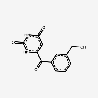 O=C(c1cccc(CO)c1)c1cc(=O)[nH]c(=O)[nH]1